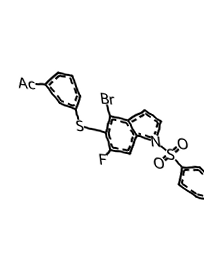 CC(=O)c1cccc(Sc2c(F)cc3c(ccn3S(=O)(=O)c3ccc(C)cc3)c2Br)c1